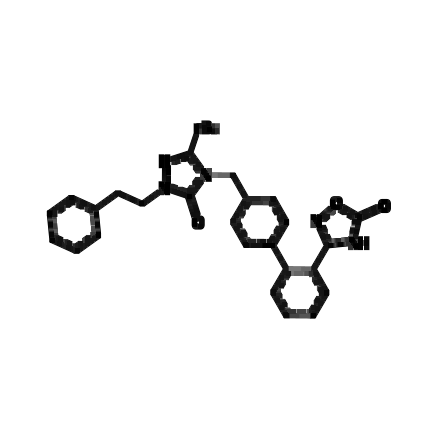 CCCCc1nn(CCc2ccccc2)c(=O)n1Cc1ccc(-c2ccccc2-c2noc(=O)[nH]2)cc1